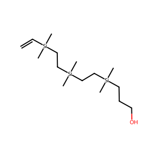 C=C[Si](C)(C)CC[Si](C)(C)CC[Si](C)(C)CCCO